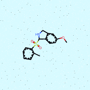 COc1ccc2c(c1)CNC2S(=O)(=O)c1ccccc1C